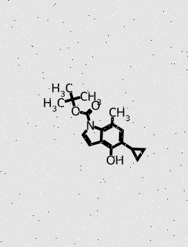 Cc1cc(C2CC2)c(O)c2ccn(C(=O)OC(C)(C)C)c12